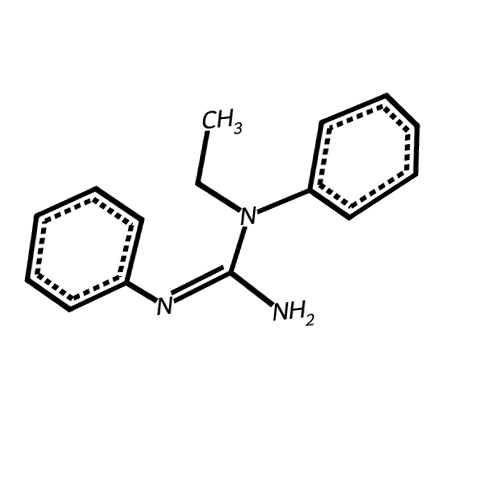 CCN(C(N)=Nc1ccccc1)c1ccccc1